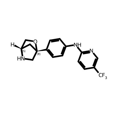 FC(F)(F)c1ccc(Nc2ccc([C@]34CN[C@H](CO3)C4)cc2)nc1